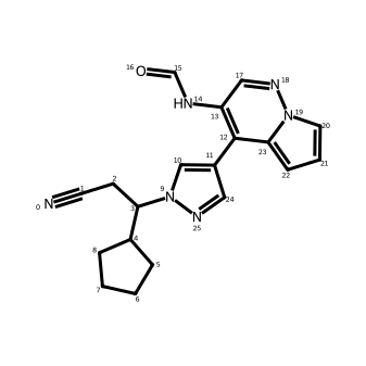 N#CCC(C1CCCC1)n1cc(-c2c(NC=O)cnn3cccc23)cn1